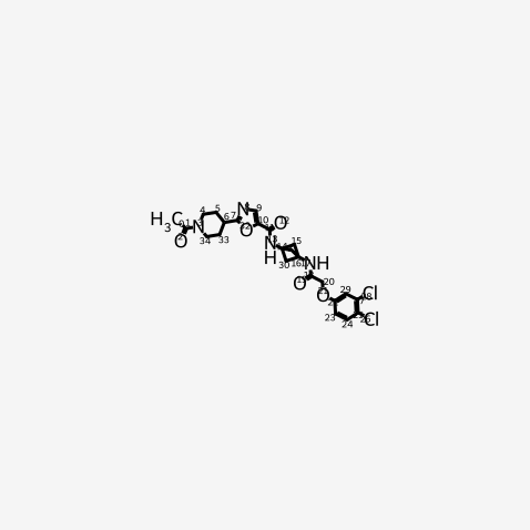 CC(=O)N1CCC(c2ncc(C(=O)NC34CC(NC(=O)COc5ccc(Cl)c(Cl)c5)(C3)C4)o2)CC1